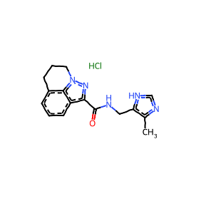 Cc1nc[nH]c1CNC(=O)c1nn2c3c(cccc13)CCC2.Cl